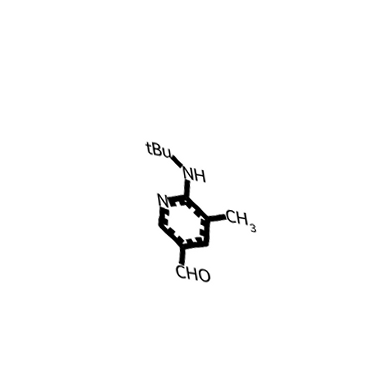 Cc1cc(C=O)cnc1NC(C)(C)C